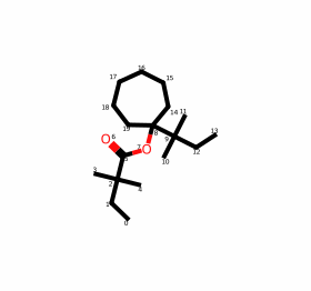 CCC(C)(C)C(=O)OC1(C(C)(C)CC)CCCCCC1